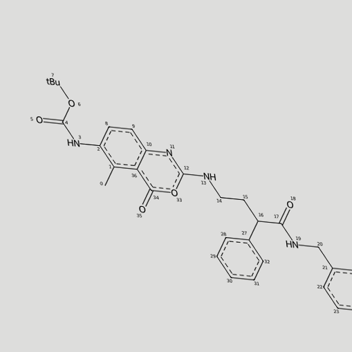 Cc1c(NC(=O)OC(C)(C)C)ccc2nc(NCCC(C(=O)NCc3ccncc3)c3ccccc3)oc(=O)c12